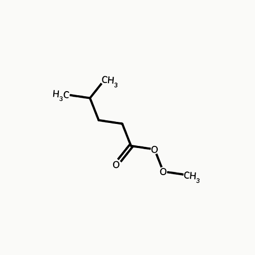 COOC(=O)CCC(C)C